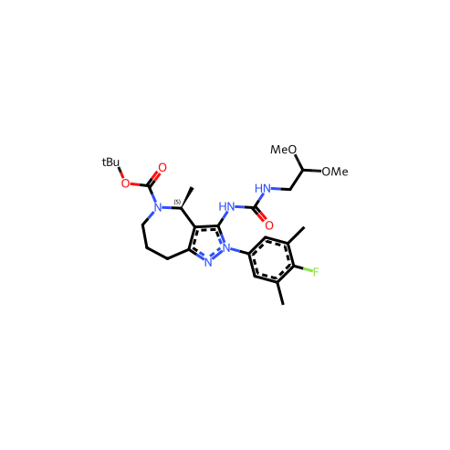 COC(CNC(=O)Nc1c2c(nn1-c1cc(C)c(F)c(C)c1)CCCN(C(=O)OC(C)(C)C)[C@H]2C)OC